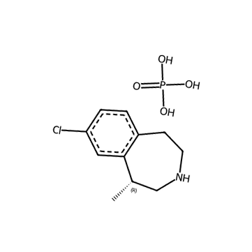 C[C@H]1CNCCc2ccc(Cl)cc21.O=P(O)(O)O